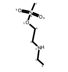 CCNCCOS(C)(=O)=O